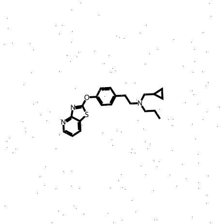 CCCN(CCc1ccc(Oc2nc3ncccc3s2)cc1)CC1CC1